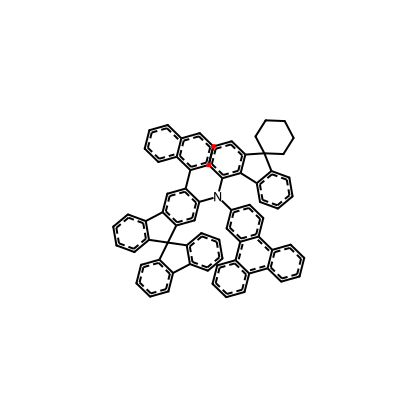 c1ccc2c(c1)-c1c(N(c3ccc4c5ccccc5c5ccccc5c4c3)c3cc4c(cc3-c3cccc5ccccc35)-c3ccccc3C43c4ccccc4-c4ccccc43)cccc1C21CCCCC1